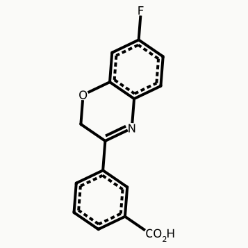 O=C(O)c1cccc(C2=Nc3ccc(F)cc3OC2)c1